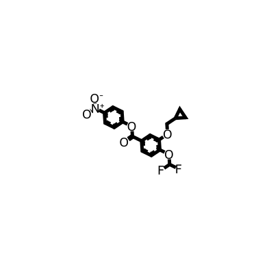 O=C(Oc1ccc([N+](=O)[O-])cc1)c1ccc(OC(F)F)c(OCC2CC2)c1